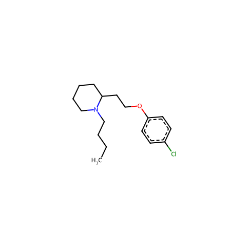 CCCCN1CCCCC1CCOc1ccc(Cl)cc1